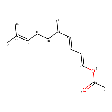 CC(=O)OC=CC=CC(C)CCC=C(C)C